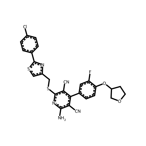 N#Cc1c(N)nc(SCc2csc(-c3ccc(Cl)cc3)n2)c(C#N)c1-c1ccc(OC2CCOC2)c(F)c1